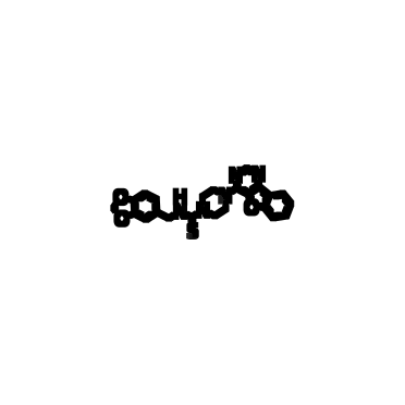 S=C(NCc1ccc2c(c1)OCO2)N1CCN(c2ncnc3c2oc2ccccc23)CC1